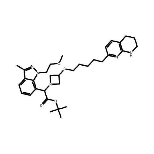 COCCn1nc(C)c2cccc(C(C(=O)OC(C)(C)C)N3CC(OCCCCCc4ccc5c(n4)NCCC5)C3)c21